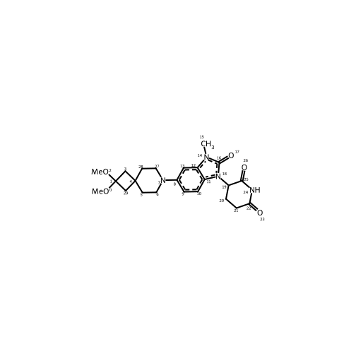 COC1(OC)CC2(CCN(c3ccc4c(c3)n(C)c(=O)n4C3CCC(=O)NC3=O)CC2)C1